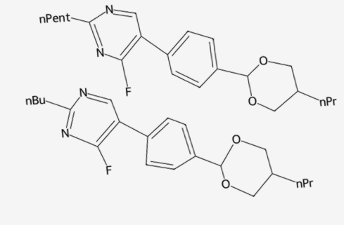 CCCCCc1ncc(-c2ccc(C3OCC(CCC)CO3)cc2)c(F)n1.CCCCc1ncc(-c2ccc(C3OCC(CCC)CO3)cc2)c(F)n1